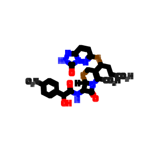 O=C(O)CCC(Sc1ccc2n[nH]c(=O)n2n1)C1=C(C(=O)O)N2C(=O)C(NC(=O)C(O)c3ccc([N+](=O)[O-])cc3)[C@@H]2SC1